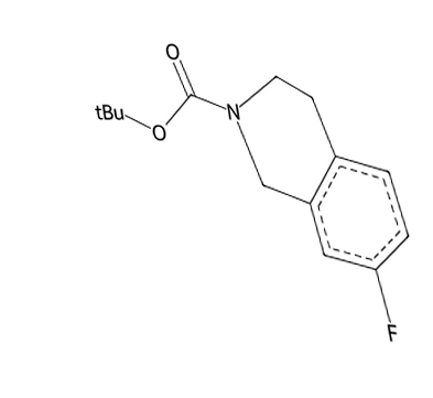 CC(C)(C)OC(=O)N1CCc2ccc(F)cc2C1